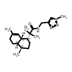 CC1=C[C@H]2[C@@H](CC1)[C@H](C)CC[C@H]2C(C)(C)C(=O)NCc1cn(C)nn1